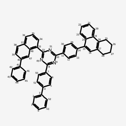 c1ccc(-c2ccc(-c3nc(-c4ccc(-c5cc6c(c7ccccc57)CCCC6)cc4)nc(-c4cccc5ccc(-c6ccccc6)cc45)n3)cc2)cc1